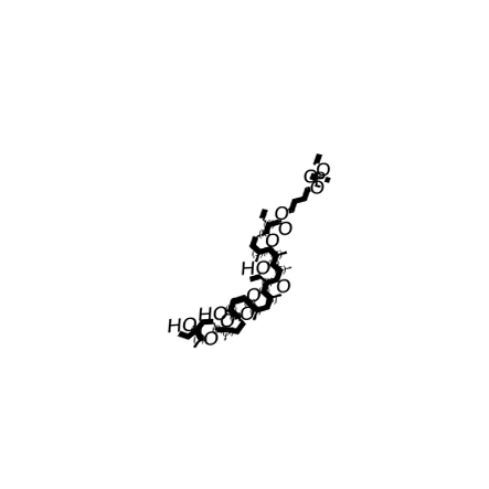 CCOP(C)(=O)OCCCCOC(=O)[C@@H](CC)[C@H]1CC[C@H](C)[C@H]([C@@H](C)[C@H](O)[C@H](C)C(=O)[C@H](CC)[C@H]2O[C@]3(C=C[C@@H](O)[C@]4(CC[C@@](C)([C@H]5CC[C@](O)(CC)[C@H](C)O5)O4)O3)[C@H](C)C[C@@H]2C)O1